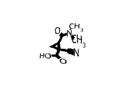 CN(C)C(=O)C1CC1(C#N)C(=O)O